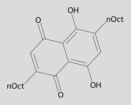 CCCCCCCCC1=CC(=O)c2c(O)c(CCCCCCCC)cc(O)c2C1=O